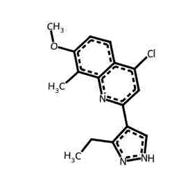 CCc1n[nH]cc1-c1cc(Cl)c2ccc(OC)c(C)c2n1